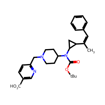 CC(=Cc1ccccc1)C1CC1N(C(=O)OC(C)(C)C)C1CCN(Cc2ccc(C(=O)O)cn2)CC1